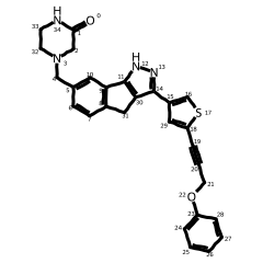 O=C1CN(Cc2ccc3c(c2)-c2[nH]nc(-c4csc(C#CCOc5ccccc5)c4)c2C3)CCN1